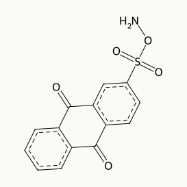 NOS(=O)(=O)c1ccc2c(c1)C(=O)c1ccccc1C2=O